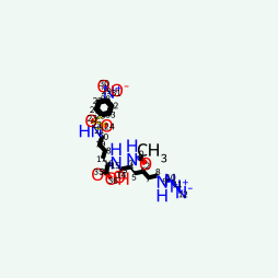 CC(=O)N[C@@H](CCCCNN=[N+]=[N-])C(=O)N[C@@H](CCCCNS(=O)(=O)c1ccc([N+](=O)[O-])cc1)C(=O)O